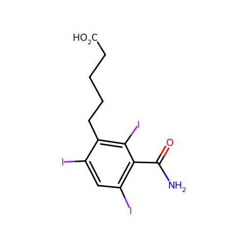 NC(=O)c1c(I)cc(I)c(CCCCC(=O)O)c1I